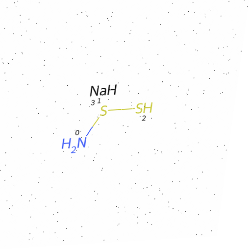 NSS.[NaH]